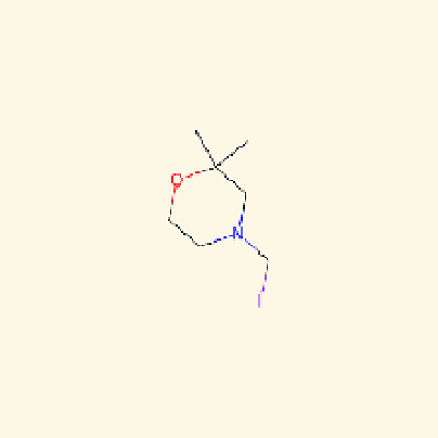 CC1(C)CN(CI)CCO1